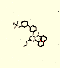 CCOC(=O)C[C@@H](c1cccc(-c2cccc(OC(F)(F)F)c2)c1)N(Cc1ccccc1)[C@H](C)c1ccccc1